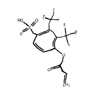 C=CC(=O)Oc1ccc(S(=O)(=O)O)c(C(F)(F)F)c1C(F)(F)F